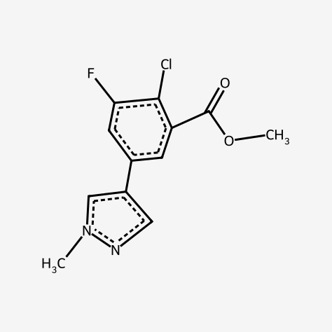 COC(=O)c1cc(-c2cnn(C)c2)cc(F)c1Cl